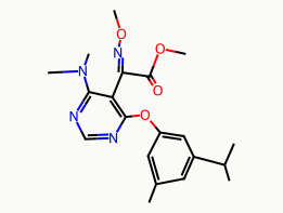 CON=C(C(=O)OC)c1c(Oc2cc(C)cc(C(C)C)c2)ncnc1N(C)C